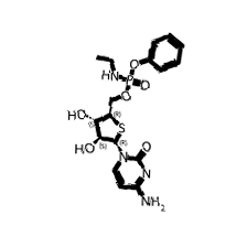 CCNP(=O)(OC[C@H]1S[C@@H](n2ccc(N)nc2=O)[C@@H](O)[C@@H]1O)Oc1ccccc1